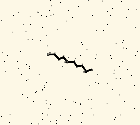 [Li][CH2]CCOCCCSC